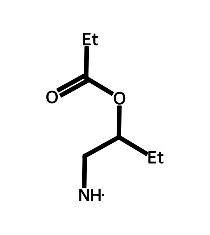 CCC(=O)OC(CC)C[NH]